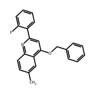 Cc1ccc2nc(-c3ccccc3F)cc(OCc3ccccc3)c2c1